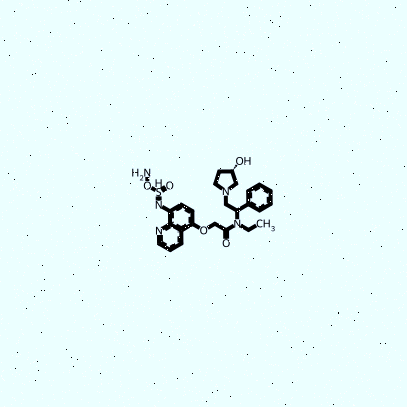 CCN(C(=O)COc1ccc(N=[SH](=O)ON)c2ncccc12)C(CN1CC[C@H](O)C1)c1ccccc1